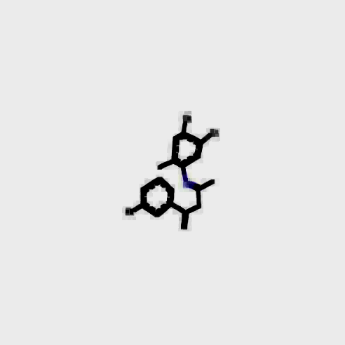 C=C(C/C(C)=N/c1cc(CC)c(CC)cc1C)c1cccc(CC)c1